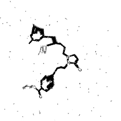 Cc1cccc(CC(O)CCN2CCC(=O)N2CCc2ccc(C(=O)O)cc2)c1